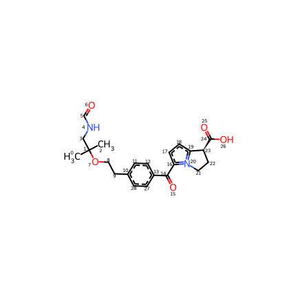 CC(C)(CNC=O)OCCc1ccc(C(=O)c2ccc3n2CC[C@@H]3C(=O)O)cc1